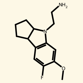 COc1cc2c(cc1F)C1CCCC1N2CCN